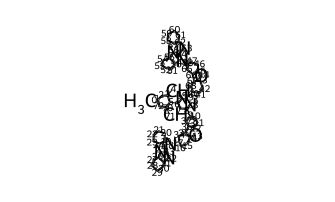 Cc1cc(C)c(-c2cc(-c3ccc4oc5ccc(-n6c7ccccc7n7c8ccccc8nc67)cc5c4c3)nc(-c3ccc4oc5ccc(-n6c7ccccc7n7c8ccccc8nc67)cc5c4c3)n2)c(C)c1